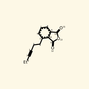 CCC#CCCc1cccc2c1C(=O)OC2=O